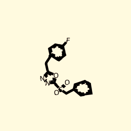 O=S(=O)(Cc1ccccc1)c1nnc(Cc2ccc(F)cc2)o1